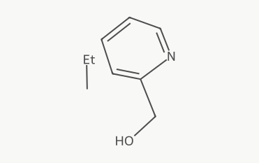 CCC.OCc1ccccn1